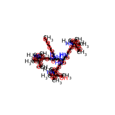 COCCOCCOCCOCCC(=O)NC(CCC(=O)NC(CCC(=O)NCCOCCOC1OC(COC(C)=O)C(OC(C)=O)C(OC(C)=O)C1NC(C)=O)C(=O)NCCOCCOC1OC(COC(C)O)C(OC(C)=O)C(OC(C)=O)C1NC(C)=O)C(=O)NCCOCCOC1OC(COC(C)=O)C(OC(C)=O)C(OC(C)=O)C1NC(C)=O